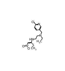 CCN(CCNC(=C[N+](=O)[O-])SC)Cc1ccc(Cl)nc1